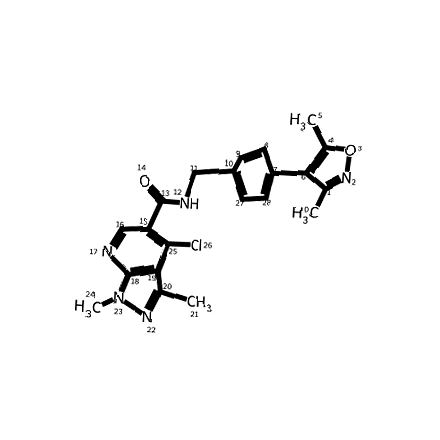 Cc1noc(C)c1-c1ccc(CNC(=O)c2cnc3c(c(C)nn3C)c2Cl)cc1